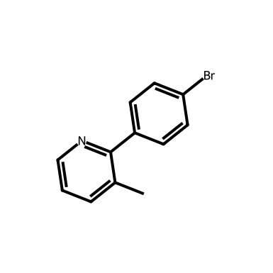 Cc1cccnc1-c1ccc(Br)cc1